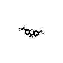 CC1(C)c2ccc(C(=O)Cl)cc2Oc2cc(C(=O)Cl)ccc21